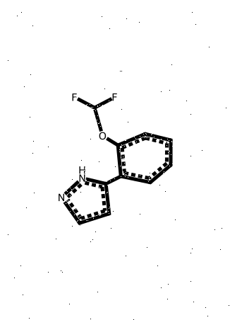 FC(F)Oc1ccccc1-c1c[c]n[nH]1